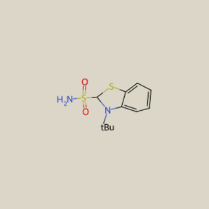 CC(C)(C)N1c2ccccc2SC1S(N)(=O)=O